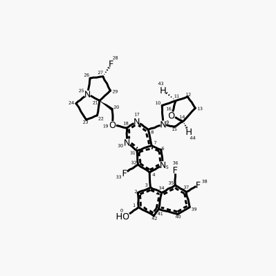 Oc1cc(-c2ncc3c(N4C[C@H]5CC[C@@H](C4)O5)nc(OC[C@@]45CCCN4C[C@H](F)C5)nc3c2F)c2c(F)c(F)ccc2c1